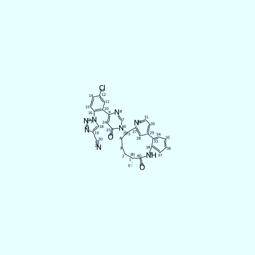 C[C@@H]1CCC[C@H](n2cnc(-c3cc(Cl)ccc3-n3cc(C#N)nn3)cc2=O)c2cc(ccn2)-c2ccccc2NC1=O